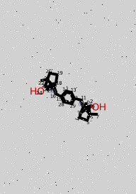 CC1(C)C2CCC1(C)C(O)/C2=C/c1ccc(/C=C2\C3CCC(C)(C2O)C3(C)C)cc1